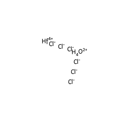 [Cl-].[Cl-].[Cl-].[Cl-].[Cl-].[Cl-].[Hf+4].[OH4+2]